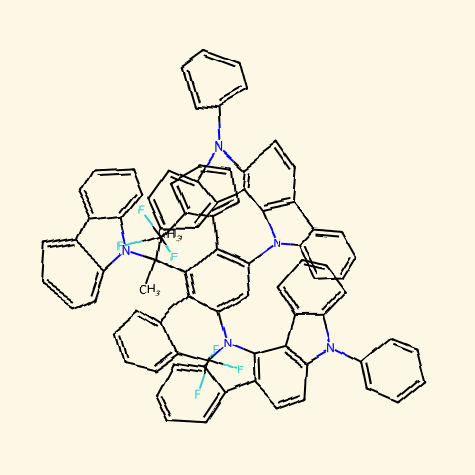 CC(C)(c1c(-c2ccccc2C(F)(F)F)c(-n2c3ccccc3c3ccc4c(c5ccccc5n4-c4ccccc4)c32)cc(-n2c3ccccc3c3ccc4c(c5ccccc5n4-c4ccccc4)c32)c1-c1ccccc1C(F)(F)F)n1c2ccccc2c2ccccc21